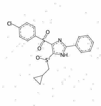 O=S(=O)(c1ccc(Cl)cc1)c1nc(-c2ccccc2)[nH]c1[S+]([O-])CC1CC1